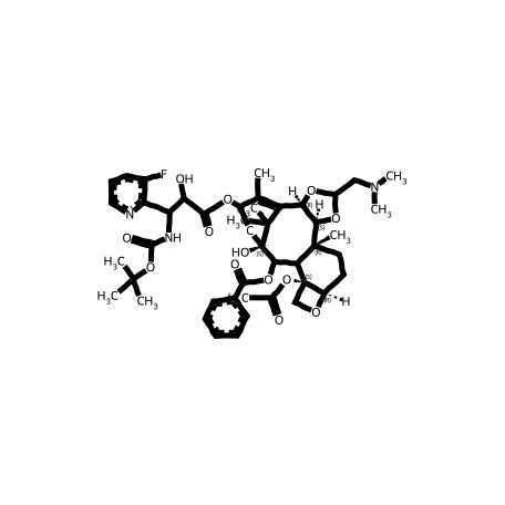 CC(=O)O[C@@]12CO[C@@H]1CC[C@]1(C)C2C(OC(=O)c2ccccc2)[C@]2(O)CC(OC(=O)C(O)C(NC(=O)OC(C)(C)C)c3ncccc3F)C(C)=C([C@H]3OC(CN(C)C)O[C@H]31)C2(C)C